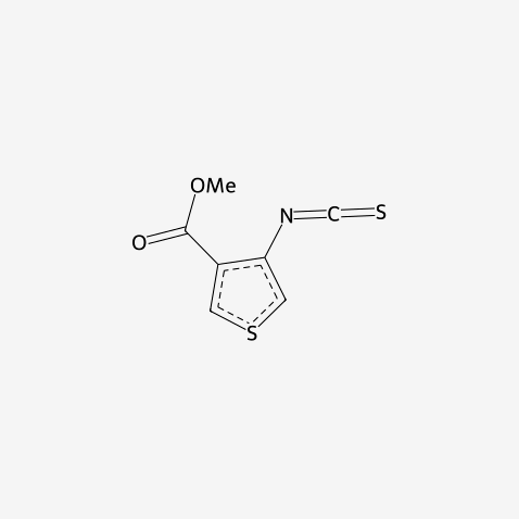 COC(=O)c1cscc1N=C=S